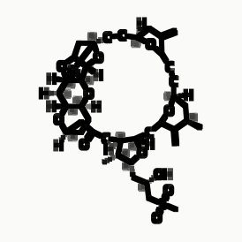 C=C1C[C@@H]2CC[C@@]34CC5O[C@H]6[C@@H](O3)[C@H]3O[C@H](CC[C@@H]3O[C@H]6[C@H]5O4)CC(=O)C[C@@H]3[C@@H](C)[C@@H](C[C@H](O)CS(C)(=O)=O)O[C@H]3CC3O[C@@H](CCC1O2)C[C@@H](C)C3=C